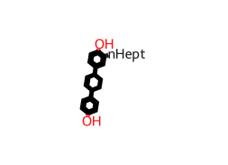 CCCCCCCc1cc(C2C=CC(c3ccc(O)cc3)CC2)ccc1O